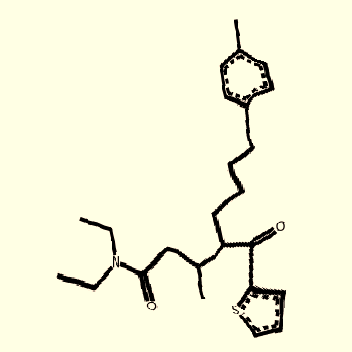 CCN(CC)C(=O)CC(C)C(CCCCc1ccc(C)cc1)C(=O)c1cccs1